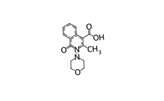 Cc1c(C(=O)O)c2ccccc2c(=O)n1N1CCOCC1